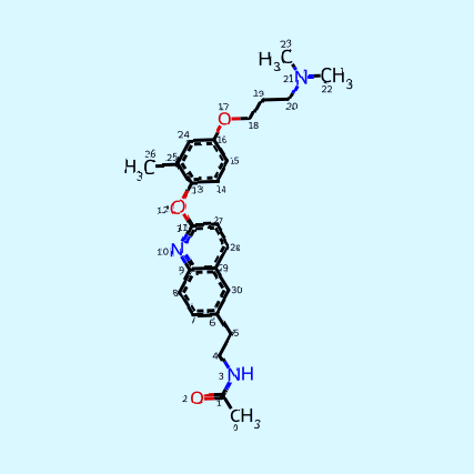 CC(=O)NCCc1ccc2nc(Oc3ccc(OCCCN(C)C)cc3C)ccc2c1